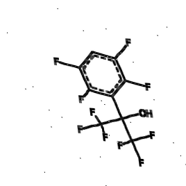 OC(c1c(F)c(F)cc(F)c1F)(C(F)(F)F)C(F)(F)F